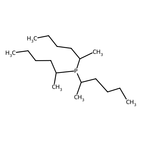 CCCCC(C)P(C(C)CCCC)C(C)CCCC